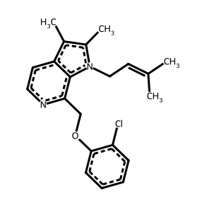 CC(C)=CCn1c(C)c(C)c2ccnc(COc3ccccc3Cl)c21